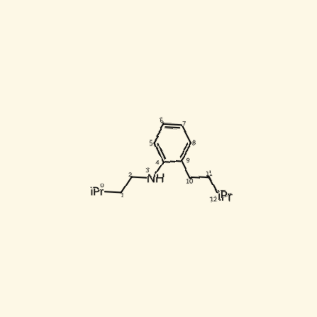 CC(C)CCNc1ccccc1CCC(C)C